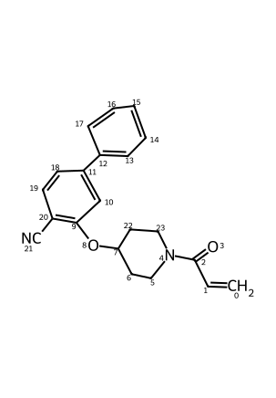 C=CC(=O)N1CCC(Oc2cc(-c3ccccc3)ccc2C#N)CC1